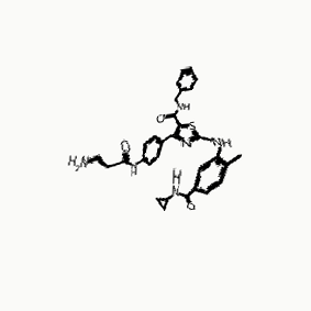 Cc1ccc(C(=O)NC2CC2)cc1Nc1nc(-c2ccc(NC(=O)CCN)cc2)c(C(=O)NCc2ccccc2)s1